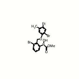 CCc1cc(Br)c(OCc2c(Br)cccc2N(O)C(=O)OC)cc1C